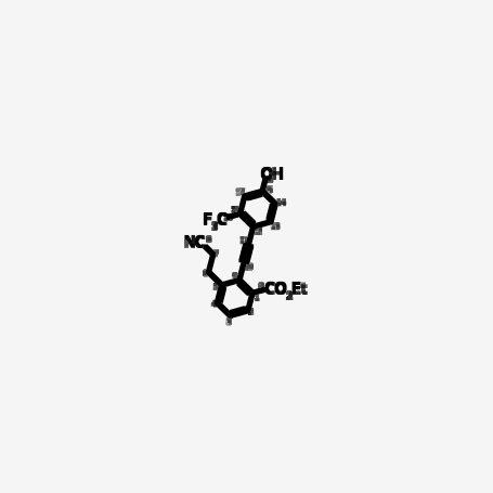 CCOC(=O)c1cccc(CCC#N)c1C#Cc1ccc(O)cc1C(F)(F)F